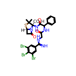 CC1(C)S[C@@H]2CC(=O)N2[C@@]1(NC(=O)C(NC(=O)CNC(=N)c1cc(Br)c(Br)c(Br)c1)c1ccccc1)C(=O)O